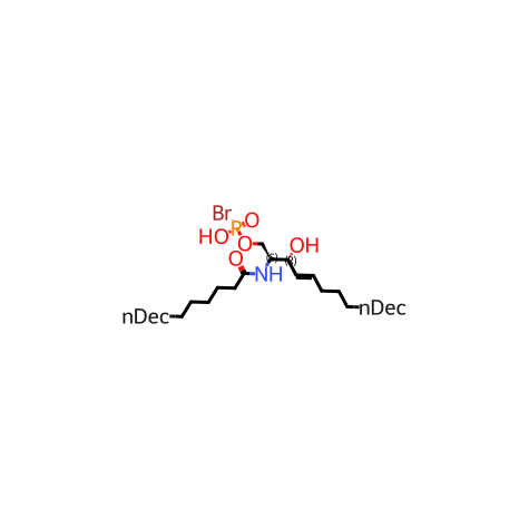 CCCCCCCCCCCCCC=C[C@@H](O)[C@H](COP(=O)(O)Br)NC(=O)CCCCCCCCCCCCCCC